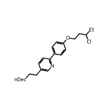 CCCCCCCCCCCCc1ccc(-c2ccc(OCCC(Cl)CC)cc2)nc1